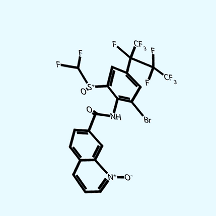 O=C(Nc1c(Br)cc(C(F)(C(F)(F)F)C(F)(F)C(F)(F)F)cc1[S+]([O-])C(F)F)c1ccc2ccc[n+]([O-])c2c1